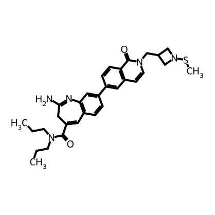 CCCN(CCC)C(=O)C1=Cc2ccc(-c3ccc4c(=O)n(CC5CN(SC)C5)ccc4c3)cc2N=C(N)C1